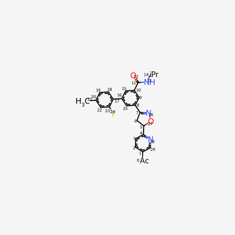 CC(=O)c1ccc(C2CC(c3cc(C(=O)NC(C)C)cc(-c4ccc(C)cc4F)c3)=NO2)nc1